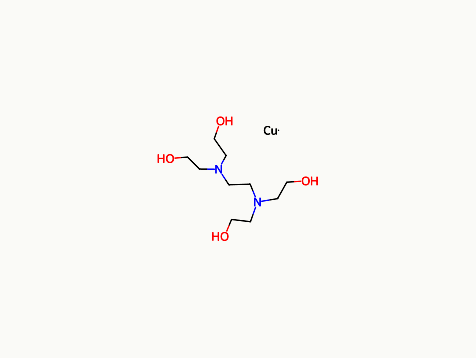 OCCN(CCO)CCN(CCO)CCO.[Cu]